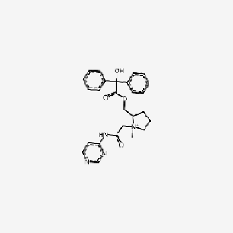 C[N+]1(CC(=O)Nc2ccncn2)CCCC1COC(=O)C(O)(c1ccccc1)c1ccccc1